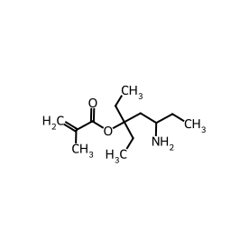 C=C(C)C(=O)OC(CC)(CC)CC(N)CC